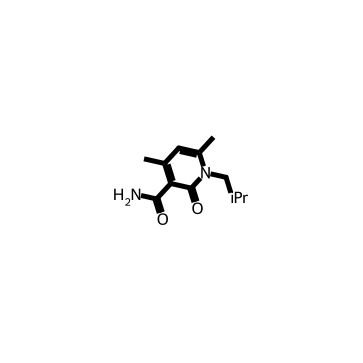 Cc1cc(C)n(CC(C)C)c(=O)c1C(N)=O